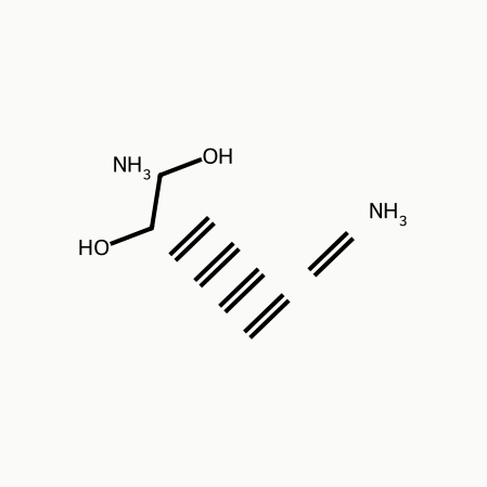 C=C.C=C.C=C.C=C.C=C.N.N.OCCO